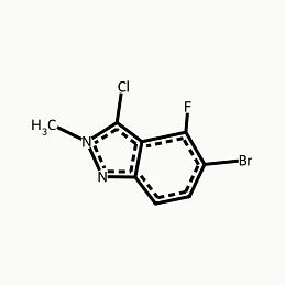 Cn1nc2ccc(Br)c(F)c2c1Cl